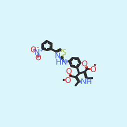 COC(=O)C1=C(C)NC(C)=C(C(=O)OC)C1c1cccc(Nc2nc(-c3cccc([N+](=O)[O-])c3)cs2)c1